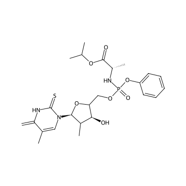 C=C1NC(=S)N([C@H]2OC(COP(=O)(N[C@@H](C)C(=O)OC(C)C)Oc3ccccc3)[C@@H](O)C2C)C=C1C